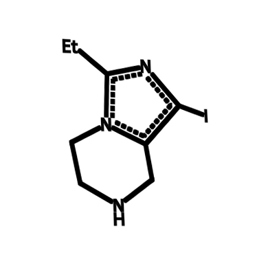 CCc1nc(I)c2n1CCNC2